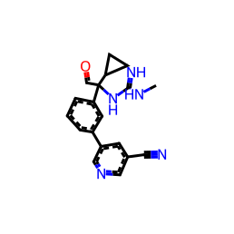 CNC(=N)NC(C=O)(c1cccc(-c2cncc(C#N)c2)c1)C1CC1